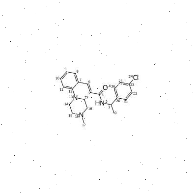 CC(NC(=O)C=Cc1ccccc1N1CCN(C)CC1)c1ccc(Cl)cc1